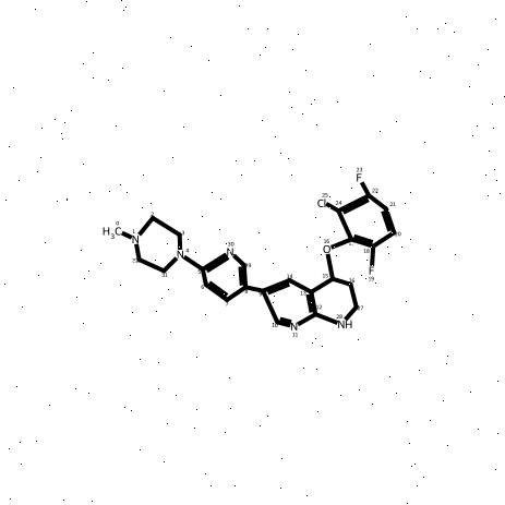 CN1CCN(c2ccc(-c3cnc4c(c3)C(Oc3c(F)ccc(F)c3Cl)CCN4)cn2)CC1